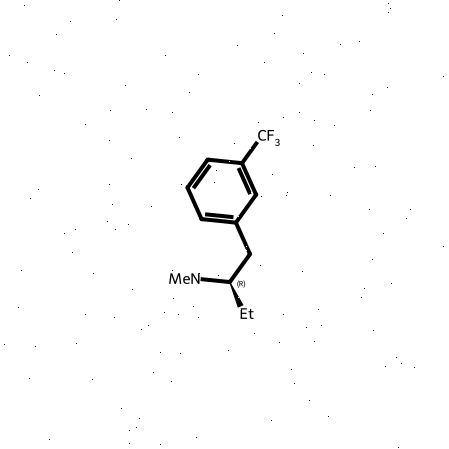 CC[C@H](Cc1cccc(C(F)(F)F)c1)NC